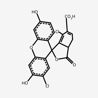 O=C(O)C1=CCC2C(=O)OC3(C2=C1Cl)c1ccc(O)cc1Oc1cc(O)c(Cl)cc13